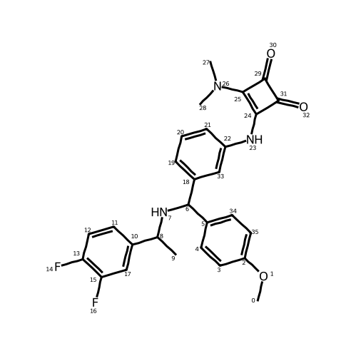 COc1ccc(C(NC(C)c2ccc(F)c(F)c2)c2cccc(Nc3c(N(C)C)c(=O)c3=O)c2)cc1